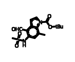 Cc1cc(NS(C)(=O)=O)c(C=O)c2ccn(C(=O)OC(C)(C)C)c12